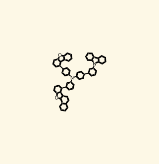 c1cc(-c2cccc3oc4c5ccccc5ccc4c23)cc(N(c2ccc(-c3cccc(-n4c5ccccc5c5ccccc54)c3)cc2)c2ccc(-c3cccc4oc5ccccc5c34)cc2)c1